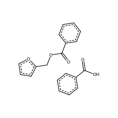 O=C(O)c1ccccc1.O=C(OCc1ccco1)c1ccccc1